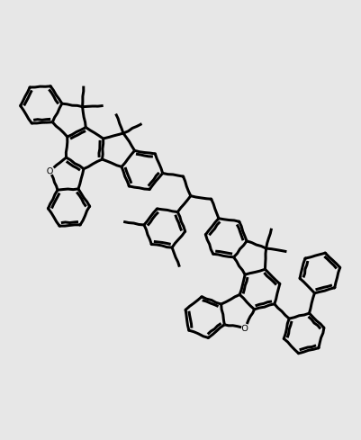 Cc1cc(C)cc(C(Cc2ccc3c(c2)C(C)(C)c2cc(-c4ccccc4-c4ccccc4)c4oc5ccccc5c4c2-3)Cc2ccc3c(c2)C(C)(C)c2c4c(c5oc6ccccc6c5c2-3)-c2ccccc2C4(C)C)c1